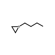 CCC[CH]N1CC1